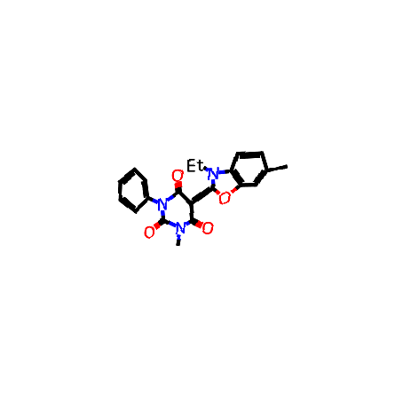 CCN1/C(=C2/C(=O)N(C)C(=O)N(c3ccccc3)C2=O)Oc2cc(C)ccc21